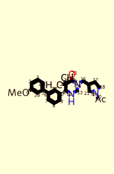 COc1cccc(-c2cccc([C@H]3NCN(CC4CCN(C(C)=O)C4)C(=O)C3(C)C)c2)c1